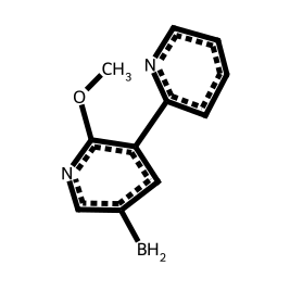 Bc1cnc(OC)c(-c2ccccn2)c1